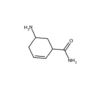 NC(=O)C1C=CCC(N)C1